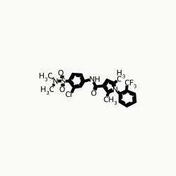 Cc1cc(C(=O)Nc2ccc(S(=O)(=O)N(C)C)c(Cl)c2)c(C)n1-c1ccccc1C(F)(F)F